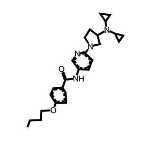 CCCCOc1ccc(C(=O)Nc2ccc(N3CCC(N(C4CC4)C4CC4)C3)nc2)cc1